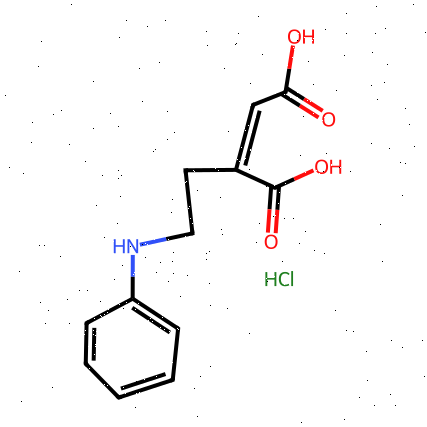 Cl.O=C(O)C=C(CCNc1ccccc1)C(=O)O